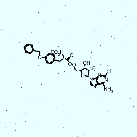 Nc1nc(Cl)nc2c1ncn2[C@@H]1O[C@H](COOC(=O)C(Cc2ccc(OCc3ccccc3)cc2)C(=O)O)[C@@H](O)[C@@H]1F